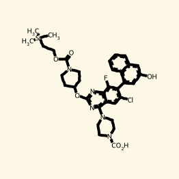 C[Si](C)(C)CCOC(=O)N1CCC(Oc2nc(N3CCN(C(=O)O)CC3)c3cc(Cl)c(-c4cc(O)cc5ccccc45)c(F)c3n2)CC1